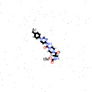 CC(=O)Cc1ccc(N2C=CC(NC(=O)N3CCN(C(=O)C(C)(C)NC(=O)OC(C)(C)C)CC3)=NC2)cc1